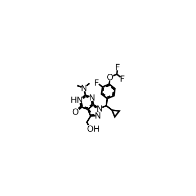 CN(C)c1nc2c(c(CO)nn2C(c2ccc(OC(F)F)c(F)c2)C2CC2)c(=O)[nH]1